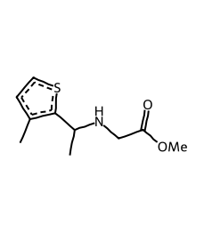 COC(=O)CNC(C)c1sccc1C